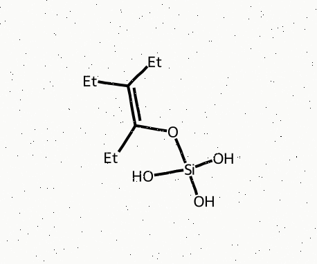 CCC(CC)=C(CC)O[Si](O)(O)O